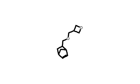 C1=CC2CC1CC2COCC1COC1